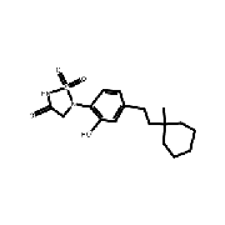 CC1(CCc2ccc(N3CC(=O)NS3(=O)=O)c(O)c2)CCCCC1